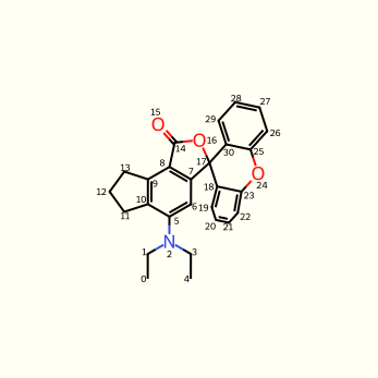 CCN(CC)c1cc2c(c3c1CCC3)C(=O)OC21c2ccccc2Oc2ccccc21